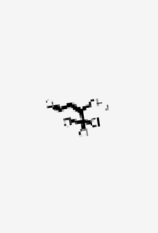 CC(=CC=O)C(Cl)(Cl)Cl